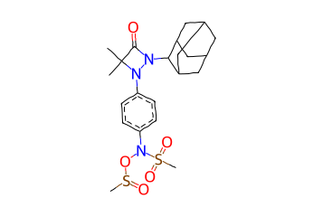 CS(=O)ON(c1ccc(N2N(C3C4CC5CC(C4)CC3C5)C(=O)C2(C)C)cc1)S(C)(=O)=O